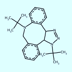 CC(C)(C)N1Cc2ccccc2C2C(N=NN2C(C)(C)C)c2ccccc21